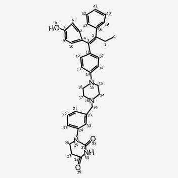 CCC(=C(c1ccc(O)cc1)c1ccc(N2CCN(Cc3cccc(N4CCC(=O)NC4=O)c3)CC2)cc1)c1ccccc1